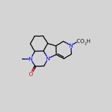 CN1C(=O)CN2C3=CCN(C(=O)O)CC3C3CCCC1C32